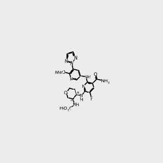 COc1ncc(Nc2nc(N[C@@H]3CCOC[C@@H]3NC(=O)O)c(F)cc2C(N)=O)cc1-n1nccn1